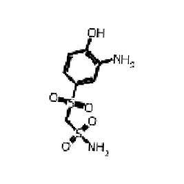 Nc1cc(S(=O)(=O)CS(N)(=O)=O)ccc1O